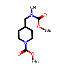 CC(C)(C)OC(=O)N(C#N)CC1CCN(C(=O)OC(C)(C)C)CC1